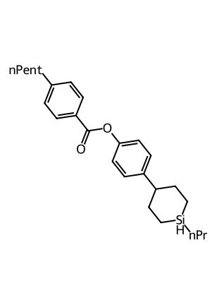 CCCCCc1ccc(C(=O)Oc2ccc(C3CC[SiH](CCC)CC3)cc2)cc1